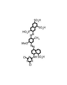 COc1cc(N=Nc2cc3c(S(=O)(=O)O)cc(S(=O)(=O)O)cc3cc2S(=O)(=O)O)c(C)cc1N=Nc1ccc(Nc2nc(Cl)nc(Cl)n2)c2c(S(=O)(=O)O)cccc12